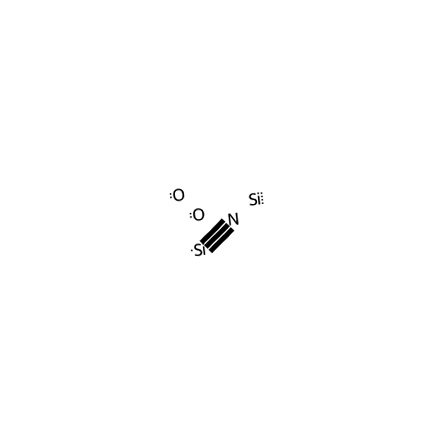 N#[Si].[O].[O].[Si]